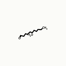 CCCCCCCCCCC=O.O